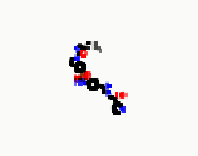 Cc1cnc(N2CCc3cc(S(=O)(=O)Nc4ccc(CCNCC(O)c5cccnc5)cc4)ccc32)o1